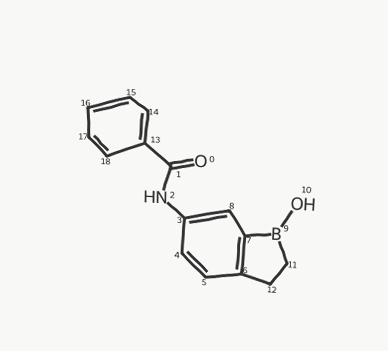 O=C(Nc1ccc2c(c1)B(O)CC2)c1ccccc1